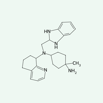 CC1(N)CCC(N(CC2Nc3ccccc3N2)C2CCCc3cccnc32)CC1